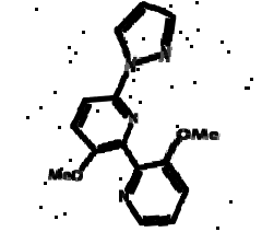 COc1cccnc1-c1nc(-n2cccn2)ccc1OC